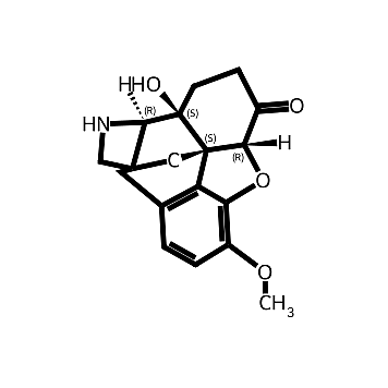 COc1ccc2c3c1O[C@H]1C(=O)CC[C@@]4(O)[C@@H]5NCC5(C2)C[C@]314